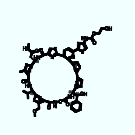 CNC(=O)C[C@@H]1NC(=O)c2csc(n2)-c2ccc(-c3nc(NC(=O)OCCO)cs3)nc2-c2csc(n2)-c2csc(n2)[C@H]([C@@H](O)c2ccccc2)NC(=O)CNC(=O)c2nc(sc2COC)[C@@H](C(C)C)NC(=O)c2nc1sc2C